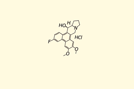 COc1cc2c3c(c4ccc(F)cc4c2cc1OC)[C@@H](O)[C@H]1CCCN1C3.Cl